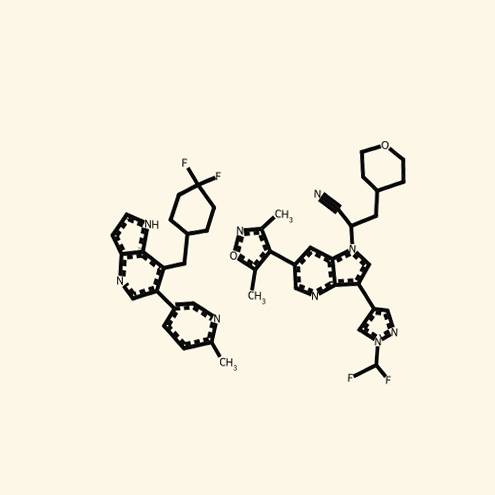 Cc1ccc(-c2cnc3cc[nH]c3c2CC2CCC(F)(F)CC2)cn1.Cc1noc(C)c1-c1cnc2c(-c3cnn(C(F)F)c3)cn(C(C#N)CC3CCOCC3)c2c1